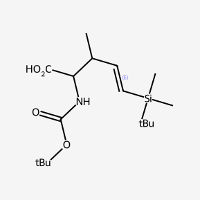 CC(/C=C/[Si](C)(C)C(C)(C)C)C(NC(=O)OC(C)(C)C)C(=O)O